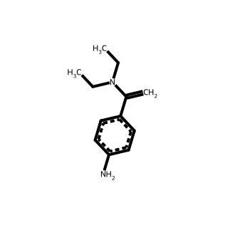 C=C(c1ccc(N)cc1)N(CC)CC